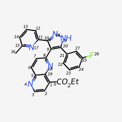 CCOC(=O)c1ccnc2ccc(-c3c(-c4cccc(C)n4)n[nH]c3-c3cccc(F)c3)nc12